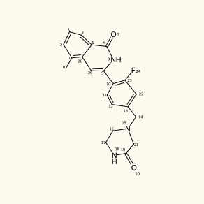 Cc1cccc2c(=O)[nH]c(-c3ccc(CN4CCNC(=O)C4)cc3F)cc12